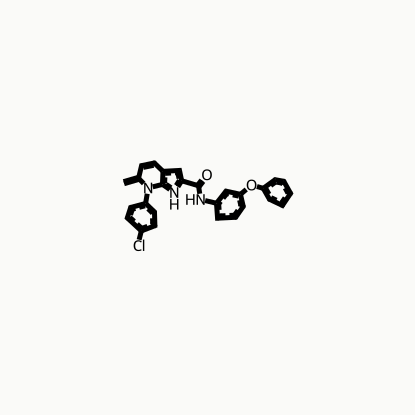 C=C1C=Cc2cc(C(=O)Nc3cccc(Oc4ccccc4)c3)[nH]c2N1c1ccc(Cl)cc1